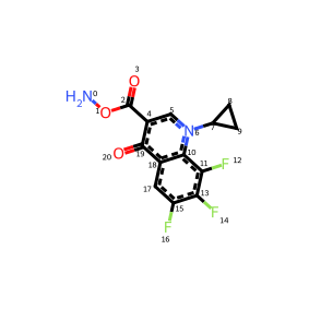 NOC(=O)c1cn(C2CC2)c2c(F)c(F)c(F)cc2c1=O